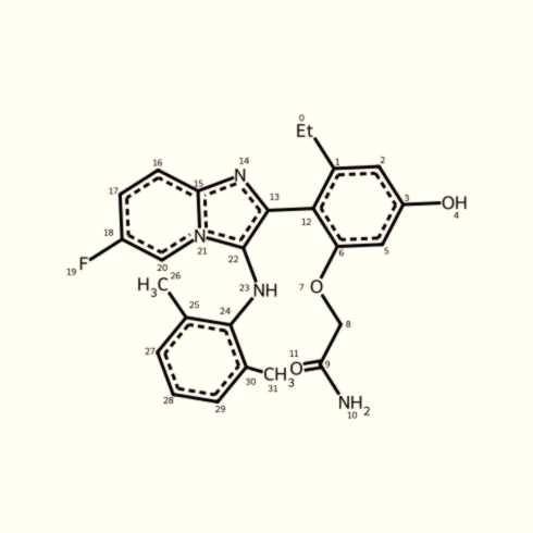 CCc1cc(O)cc(OCC(N)=O)c1-c1nc2ccc(F)cn2c1Nc1c(C)cccc1C